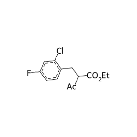 CCOC(=O)C(Cc1ccc(F)cc1Cl)C(C)=O